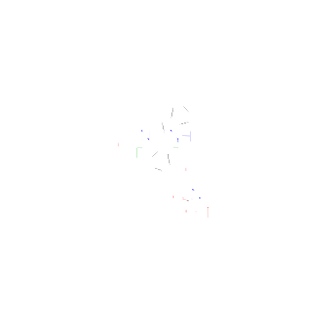 C[C@@H]1Cc2c([nH]c3ccccc23)[C@@H](c2c(F)ccc(OCCN(CCCF)C(=O)O)c2F)N1CC1(F)COC1